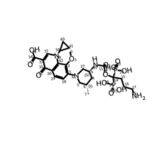 COc1c(N2C[C@@H](C)C[C@H](NC(=O)OC(CCCN)(P(=O)(O)O)P(=O)(O)O)C2)ccc2c(=O)c(C(=O)O)cn(C3CC3)c12